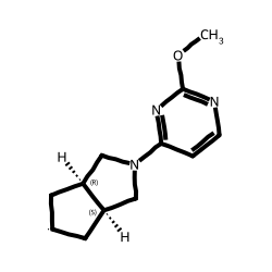 COc1nccc(N2C[C@H]3C[CH]C[C@H]3C2)n1